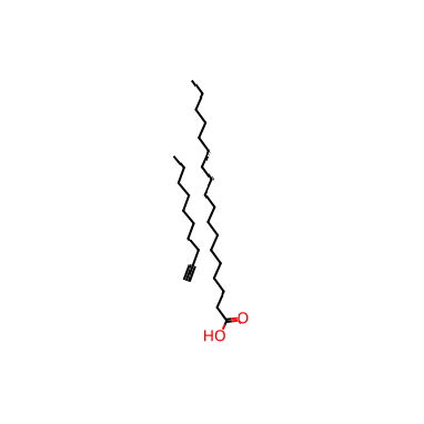 C#CCCCCCCCC.CCCCCCCCCCCCCCCCCC(=O)O